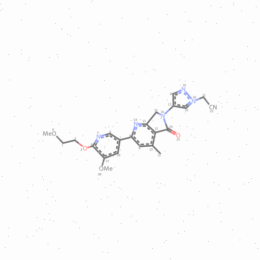 COCCOc1ncc(-c2cc(C)c3c(n2)CN(c2cnn(CC#N)c2)C3=O)cc1OC